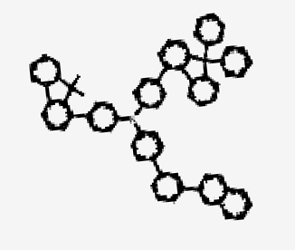 CC1(C)c2ccccc2-c2cccc(-c3ccc(N(c4ccc(-c5cccc(-c6ccc7ccccc7c6)c5)cc4)c4ccc(-c5cccc6c5-c5ccccc5C6(c5ccccc5)c5ccccc5)cc4)cc3)c21